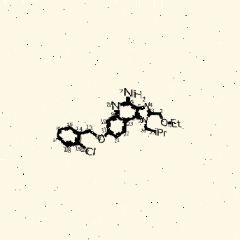 CCOCc1nc2c(N)nc3cc(OCc4ccccc4Cl)ccc3c2n1CC(C)C